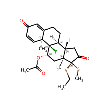 CCS[C@]1(SC)C(=O)C[C@H]2[C@@H]3CCC4=CC(=O)C=C[C@]4(C)[C@@]3(F)[C@@H](OC(C)=O)C[C@@]21C